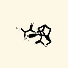 CC(C)C(=O)OC1C2CC3C1OC(=O)C3(C#N)C2